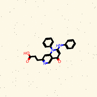 O=C(O)CCc1cc2c(cn1)c(=O)cc(Nc1ccccc1)n2-c1ccccc1